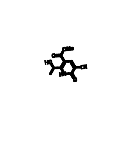 COC(=O)c1cc(C#N)c(=O)[nH]c1C(C)O